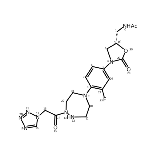 CC(=O)NC[C@H]1CN(c2ccc(N3CCNN(C(=O)Cn4cnnn4)CC3)c(F)c2)C(=O)O1